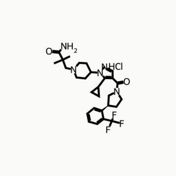 CC(C)(CN1CCC(n2ncc(C(=O)N3CC[C@@H](c4ccccc4C(F)(F)F)C3)c2C2CC2)CC1)C(N)=O.Cl